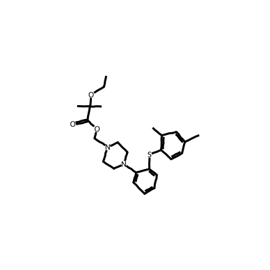 CCOC(C)(C)C(=O)OCN1CCN(c2ccccc2Sc2ccc(C)cc2C)CC1